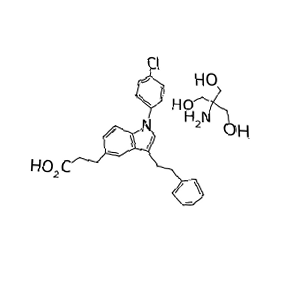 NC(CO)(CO)CO.O=C(O)CCc1ccc2c(c1)c(CCc1ccccc1)cn2-c1ccc(Cl)cc1